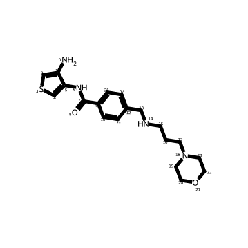 Nc1cscc1NC(=O)c1ccc(CNCCCN2CCOCC2)cc1